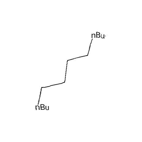 CCC[CH]CCCCCCCC